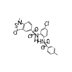 Cc1ccc(S(=O)(=O)Nc2ccc(Cl)cc2NS(=O)(=O)c2ccc3c(c2)c(=O)sn3C)cc1